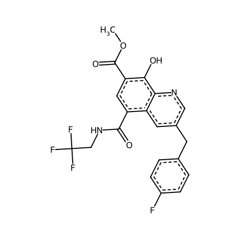 COC(=O)c1cc(C(=O)NCC(F)(F)F)c2cc(Cc3ccc(F)cc3)cnc2c1O